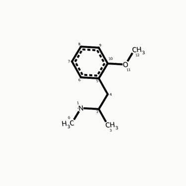 C[N]C(C)Cc1ccccc1OC